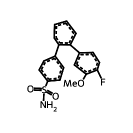 COc1cc(-c2ccccc2-c2ccc(S(N)(=O)=O)cc2)ccc1F